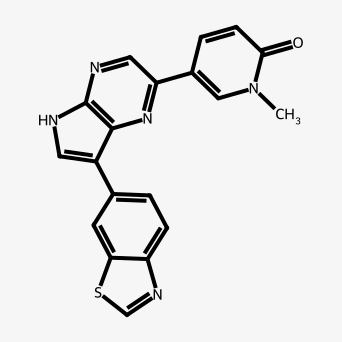 Cn1cc(-c2cnc3[nH]cc(-c4ccc5ncsc5c4)c3n2)ccc1=O